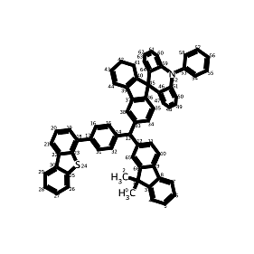 CC1(C)c2ccccc2-c2ccc(C(c3ccc(-c4cccc5c4sc4ccccc45)cc3)c3ccc4c(c3)C3=C(CCC=C3)C43c4ccccc4N(c4ccccc4)c4ccccc43)cc21